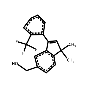 CC1(C)C=C(c2ccccc2C(F)(F)F)c2cc(CO)ccc21